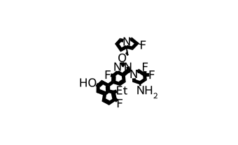 CCc1c(F)ccc2cc(O)cc(-c3ccc4c(N5C[C@H](N)CC(F)(F)C5)nc(OC[C@@]56CCCN5C[C@H](F)C6)nc4c3F)c12